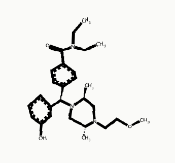 CCN(CC)C(=O)c1ccc([C@H](c2cccc(O)c2)N2C[C@@H](C)N(CCOC)C[C@@H]2C)cc1